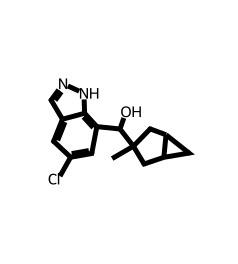 CC1(C(O)c2cc(Cl)cc3cn[nH]c23)CC2CC2C1